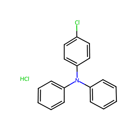 Cl.Clc1ccc(N(c2ccccc2)c2ccccc2)cc1